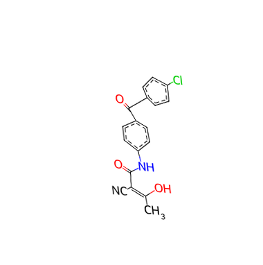 CC(O)=C(C#N)C(=O)Nc1ccc(C(=O)c2ccc(Cl)cc2)cc1